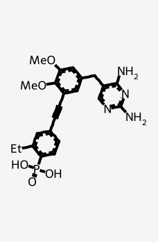 CCc1cc(C#Cc2cc(Cc3cnc(N)nc3N)cc(OC)c2OC)ccc1P(=O)(O)O